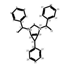 CC(c1ccccc1)N1[C]N(C(C)c2ccccc2)C2=C1C2c1ccccc1